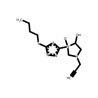 C#CCN1CC(O)[N+]([O-])(c2nnc(SCCCC)s2)C1